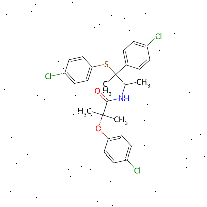 CC(NC(=O)C(C)(C)Oc1ccc(Cl)cc1)C(C)(Sc1ccc(Cl)cc1)c1ccc(Cl)cc1